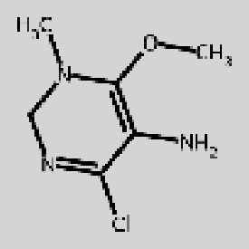 COC1=C(N)C(Cl)=NCN1C